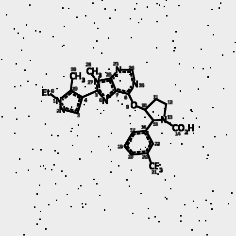 CCn1ncc(-c2nc3c(OC4CCN(C(=O)O)C4c4cccc(C(F)(F)F)c4)ncnc3n2C)c1C